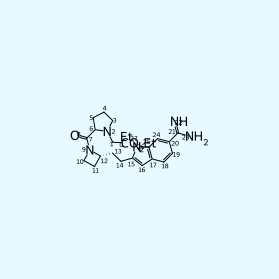 CCOC(=O)CN1CCCC1C(=O)N1CC[C@H]1CCc1cc2ccc(C(=N)N)cc2n1CC